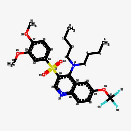 CCCCN(CCCC)c1c(S(=O)(=O)c2ccc(OC)c(OC)c2)cnc2ccc(OC(F)(F)F)cc12